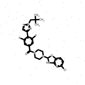 CC(C)(C)Cn1ncc(-c2c(F)cc(C(=O)N3CCN(C4Nc5nc(Cl)ccc5O4)CC3)cc2F)n1